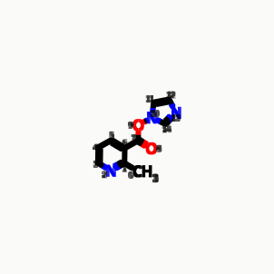 Cc1ncccc1C(=O)On1ccnc1